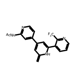 C=C1C=C(c2ccnc(NC(C)=O)c2)C=C(c2cccnc2C(F)(F)F)N1